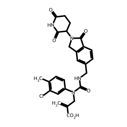 C=C(CN(C(=O)NCc1ccc2c(c1)CN(C1CCC(=O)NC1=O)C2=O)c1ccc(C)c(Cl)c1)C(=O)O